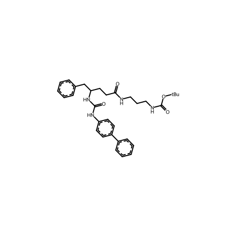 CC(C)(C)OC(=O)NCCCNC(=O)CCC(Cc1ccccc1)NC(=O)Nc1ccc(-c2ccccc2)cc1